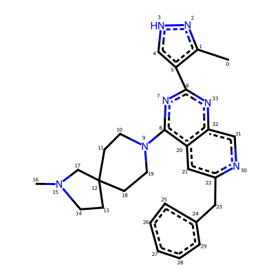 Cc1n[nH]cc1-c1nc(N2CCC3(CCN(C)C3)CC2)c2cc(Cc3ccccc3)ncc2n1